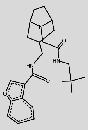 CC(C)(C)CNC(=O)CN1C2CCC1CC(CNC(=O)c1coc3ccccc13)C2